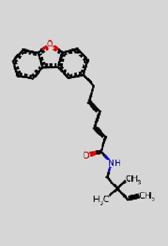 C=CC(C)(C)CNC(=O)/C=C/C=C/Cc1ccc2oc3ccccc3c2c1